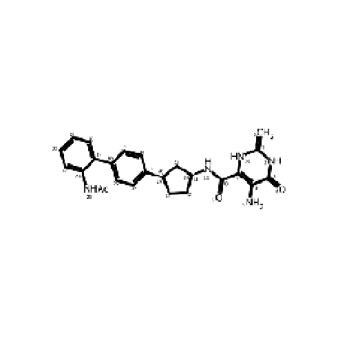 C=C1NC(=O)C(N)=C(C(=O)N[C@H]2CC[C@@H](c3ccc(-c4ccccc4NC(C)=O)cc3)C2)N1